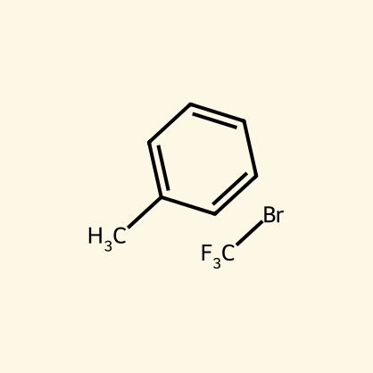 Cc1ccccc1.FC(F)(F)Br